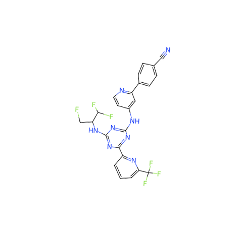 N#Cc1ccc(-c2cc(Nc3nc(NC(CF)C(F)F)nc(-c4cccc(C(F)(F)F)n4)n3)ccn2)cc1